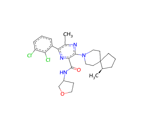 Cc1nc(N2CCC3(CCC[C@H]3C)CC2)c(C(=O)NC2CCOC2)nc1-c1cccc(Cl)c1Cl